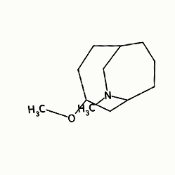 COC1CCC2CCCC(C1)N(C)C2